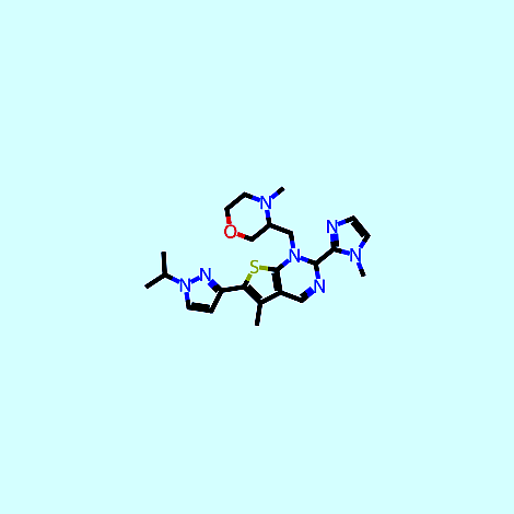 Cc1c(-c2ccn(C(C)C)n2)sc2c1C=NC(c1nccn1C)N2CC1COCCN1C